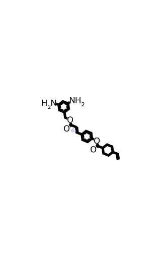 C=CC1CCC(C(=O)Oc2ccc(/C=C/C(=O)OCc3cc(N)cc(N)c3)cc2)CC1